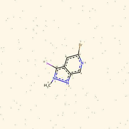 Cn1nc2cnc(Br)cc2c1I